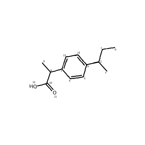 CCC(C)c1ccc(C(C)C(=O)O)cc1